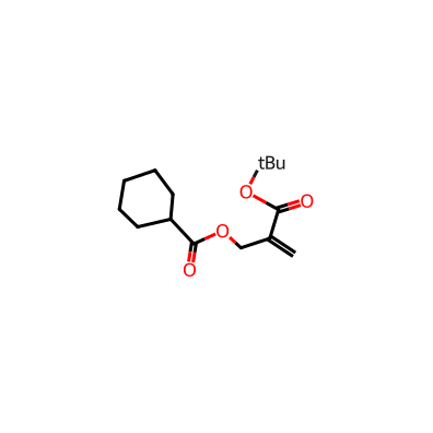 C=C(COC(=O)C1CCCCC1)C(=O)OC(C)(C)C